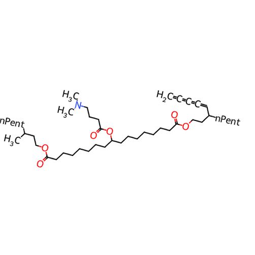 C=C=C=C=CC(CCCCC)CCOC(=O)CCCCCCCC(CCCCCCCC(=O)OCCC(C)CCCCC)OC(=O)CCCN(C)C